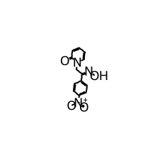 O=c1ccccn1CC(=NO)c1ccc([N+](=O)[O-])cc1